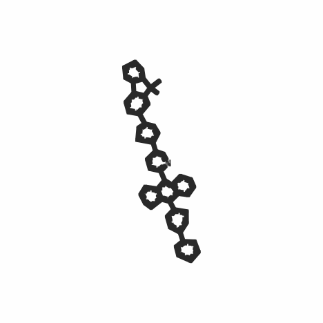 CC1(C)c2ccccc2-c2ccc(-c3ccc(-c4ccc(-c5c6ccccc6c(-c6ccc(-c7ccccc7)cc6)c6ccccc56)nc4)cc3)cc21